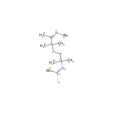 C/C(=N/C(C)(C)C)C(C)(C)CCC(C)(C)/N=C(/F)C(C)(C)C